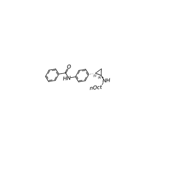 CCCCCCCCN[C@@H]1C[C@H]1c1ccc(NC(=O)c2ccccc2)cc1